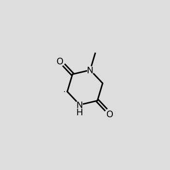 CN1CC(=O)N[CH]C1=O